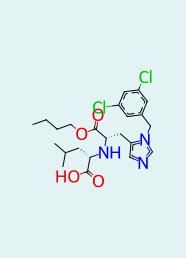 CCCCOC(=O)[C@H](Cc1cncn1Cc1cc(Cl)cc(Cl)c1)N[C@@H](CC(C)C)C(=O)O